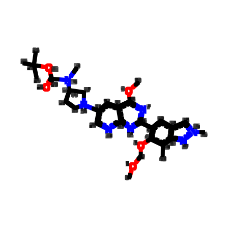 COCOc1c(-c2nc(OC)c3cc(N4CC[C@@H](N(C)C(=O)OC(C)(C)C)C4)cnc3n2)cc2cn(C)nc2c1C